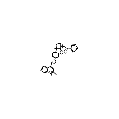 Cc1cc(COc2ccc(C3(C)CCN(CC(=O)c4ccccc4)C3=O)cc2)c2ccccc2n1